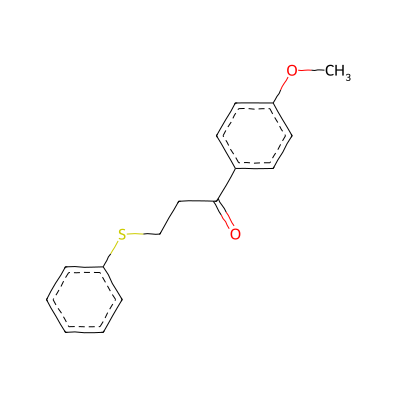 COc1ccc(C(=O)CCSc2ccccc2)cc1